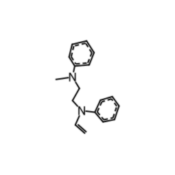 C=CN(CCN(C)c1ccccc1)c1ccccc1